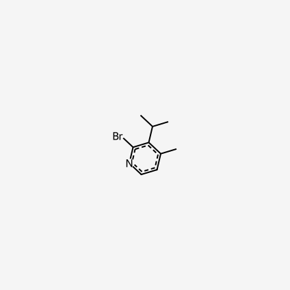 Cc1ccnc(Br)c1C(C)C